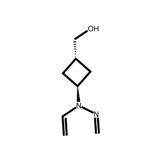 C=CN(N=C)[C@H]1C[C@H](CO)C1